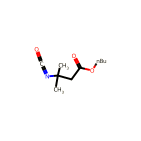 CCCCOC(=O)CC(C)(C)N=C=O